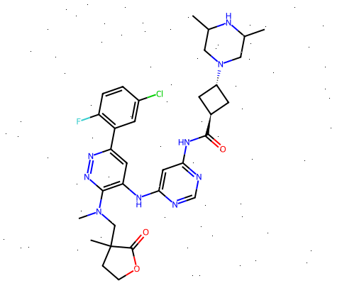 CC1CN([C@H]2C[C@H](C(=O)Nc3cc(Nc4cc(-c5cc(Cl)ccc5F)nnc4N(C)CC4(C)CCOC4=O)ncn3)C2)CC(C)N1